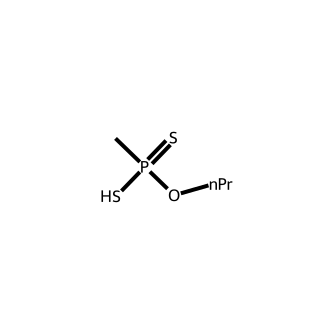 CCCOP(C)(=S)S